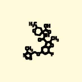 Cc1ncsc1COc1cc(F)c2oc(C)c(C(=O)NC3(C(=O)O)CCOC(C)C3)c2c1